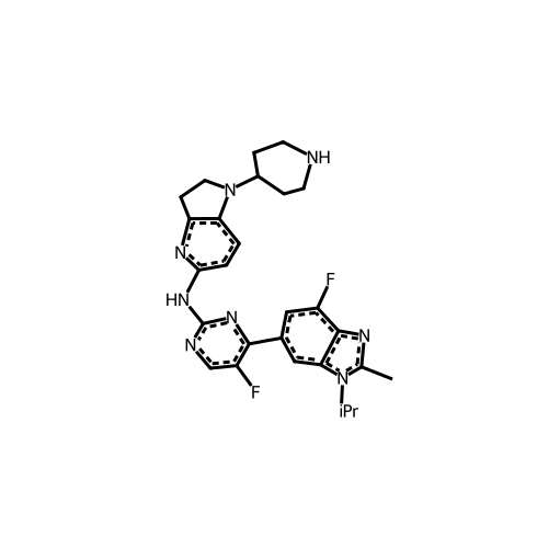 Cc1nc2c(F)cc(-c3nc(Nc4ccc5c(n4)CCN5C4CCNCC4)ncc3F)cc2n1C(C)C